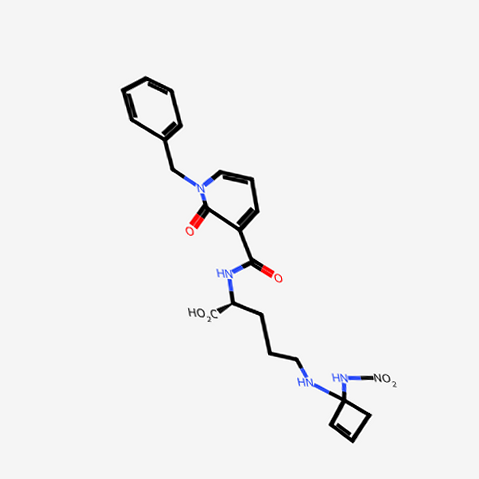 O=C(N[C@@H](CCCNC1(N[N+](=O)[O-])C=CC1)C(=O)O)c1cccn(Cc2ccccc2)c1=O